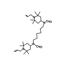 C=CCN1C(C)(C)CC(N(C=O)CCCCCCN(C=O)C2CC(C)(C)N(CC=C)C(C)(C)C2)CC1(C)C